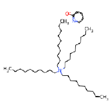 CCCCCCCCCC[N+](CCCCCCCCCC)(CCCCCCCCCC)CCCCCCCCCC.[O-]c1ccccn1